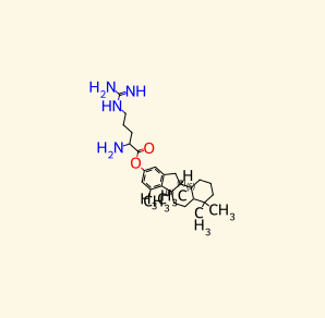 Cc1cc(OC(=O)C(N)CCCNC(=N)N)cc2c1[C@]1(C)CCC3C(C)(C)CCC[C@]3(C)[C@H]1C2